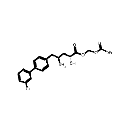 CCCC(=O)OCOC(=O)[C@H](O)CC(N)Cc1ccc(-c2cccc(Cl)c2)cc1